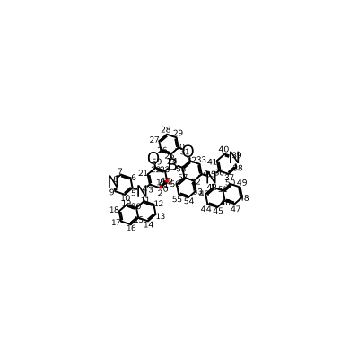 C1=CC2C(N(c3ccncc3)c3cccc4ccccc34)=CC3=C(B4c5c(cccc5Oc5cc(N(c6ccncc6)c6cccc7ccccc67)c6ccccc6c54)O3)C2C=C1